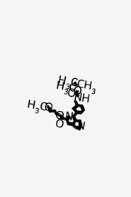 COCCCOC(=O)c1cc2ccncc2c(-c2cccc(CNC(=O)OC(C)(C)C)c2)n1